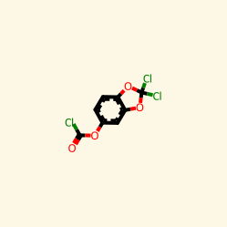 O=C(Cl)Oc1ccc2c(c1)OC(Cl)(Cl)O2